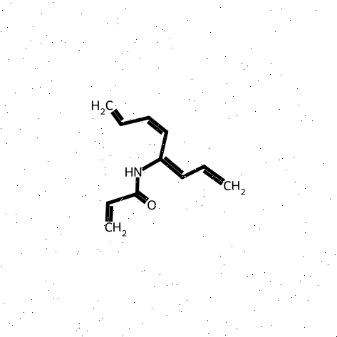 C=C/C=C\C(=C/C=C)NC(=O)C=C